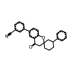 N#Cc1cccc(-c2ccc3c(c2)C(=O)CC2(CCCC(c4ccccc4)C2)O3)c1